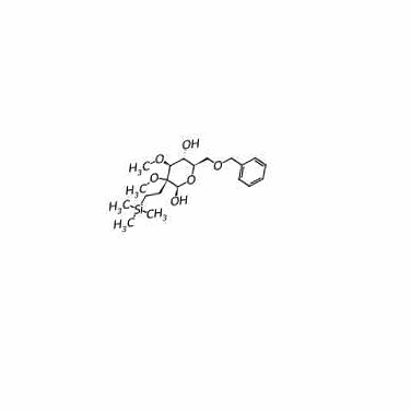 CO[C@H]1[C@H](O)[C@@H](COCc2ccccc2)O[C@@H](O)[C@]1(CC[Si](C)(C)C)OC